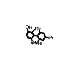 COc1ccc(O)c(I)c1-c1c(C(C)C)cc(C(C)C)cc1C(C)C